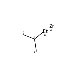 [CH2]CC(C)C.[Zr]